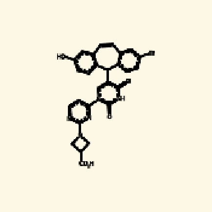 CCc1ccc2c(c1)C=Cc1cc(O)ccc1C2c1cn(-c2ccnc(N3CC(C(=O)O)C3)n2)c(=O)[nH]c1=O